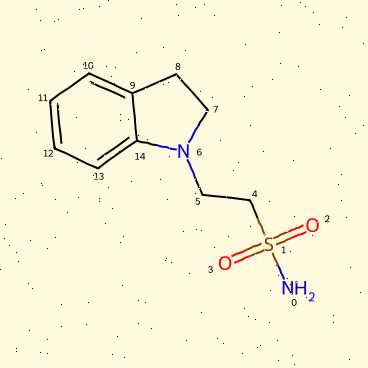 NS(=O)(=O)CCN1CCc2ccccc21